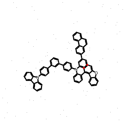 c1cc(-c2ccc(N(c3cccc(-c4ccc5c(ccc6ccccc65)c4)c3)c3ccccc3-c3cccc4oc5ccccc5c34)cc2)cc(-c2ccc(-n3c4ccccc4c4ccccc43)cc2)c1